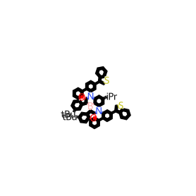 CC(C)c1cc2c3c(c1)N(c1cc(-c4csc5ccccc45)ccc1-c1ccccc1)c1oc4ccc(C(C)(C)C)cc4c1B3c1c(oc3ccc(C(C)(C)C)cc13)N2c1cc(-c2csc3ccccc23)ccc1-c1ccccc1